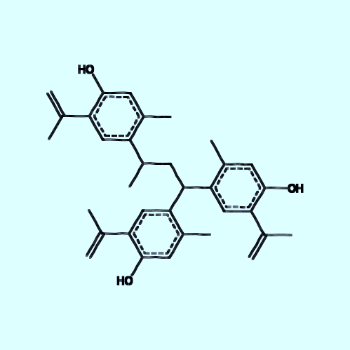 C=C(C)c1cc(C(C)CC(c2cc(C(=C)C)c(O)cc2C)c2cc(C(=C)C)c(O)cc2C)c(C)cc1O